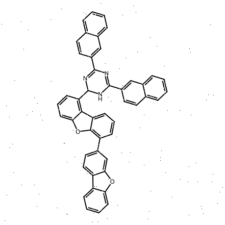 c1ccc2cc(C3=NC(c4cccc5oc6c(-c7ccc8c(c7)oc7ccccc78)cccc6c45)NC(c4ccc5ccccc5c4)=N3)ccc2c1